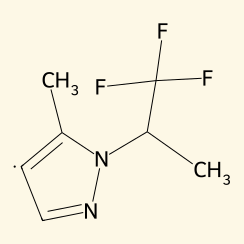 Cc1[c]cnn1C(C)C(F)(F)F